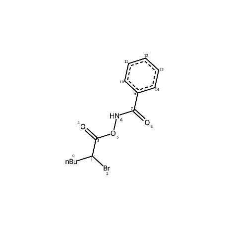 CCCCC(Br)C(=O)ONC(=O)c1ccccc1